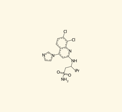 CC(C)C(CS(N)(=O)=O)Nc1cc(-n2ccnc2)c2ccc(Cl)c(Cl)c2n1